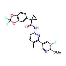 COc1ncc(-c2nc(NC(=O)C3(c4ccc5c(c4)OC(F)(F)O5)CC3)ccc2C)cc1F